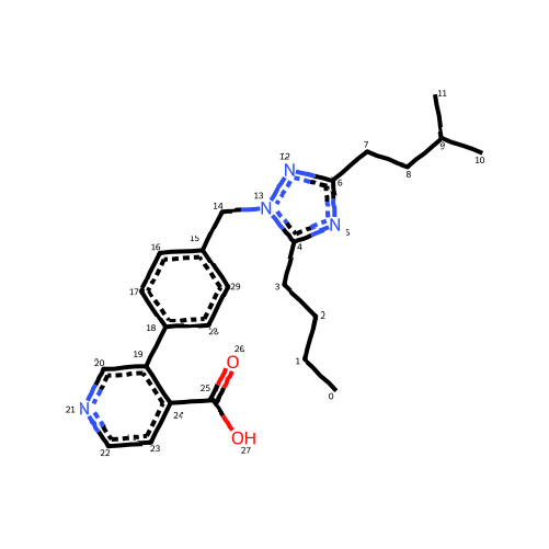 CCCCc1nc(CCC(C)C)nn1Cc1ccc(-c2cnccc2C(=O)O)cc1